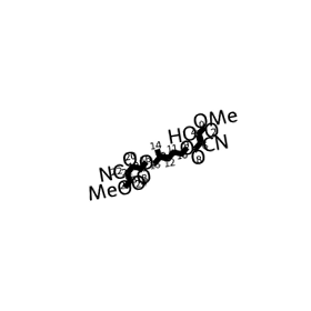 COC(=O)/C(O)=C(\C#N)C(=O)OCC/C=C(\C)COC(=O)C(=O)C(C#N)C(=O)OC